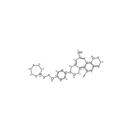 OC1=Cc2c3c(cc(F)c2=C2COC(c4ccc(OCCN5CCCCCC5)cc4)CC2=C1)=CCCO3